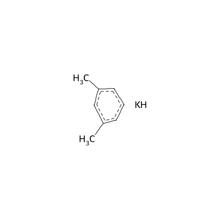 Cc1cccc(C)c1.[KH]